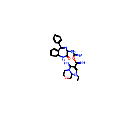 CCN/C=C(/C(=N)OC(=N)NC1N=C(c2ccccc2)c2ccccc2NC1=O)C(=N)N1CCOCC1